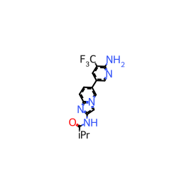 CC(C)C(=O)Nc1cn2cc(-c3cnc(N)c(C(F)(F)F)c3)ccc2n1